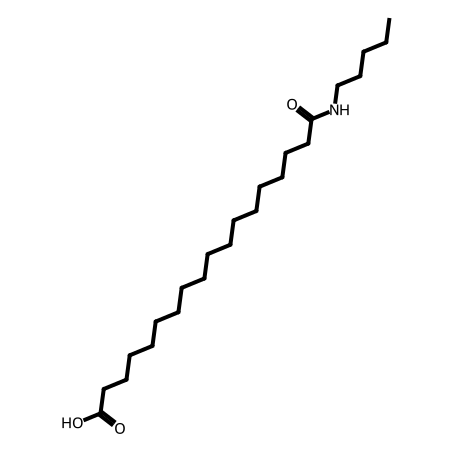 CCCCCNC(=O)CCCCCCCCCCCCCCCCC(=O)O